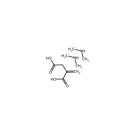 C=C(CC(=O)O)C(=O)O.CNC.CNC